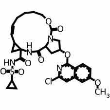 COc1ccc2c(OC3CC4C(=O)NC5(C(=O)NS(=O)(=O)C6CC6)CC5/C=C\CCCCOC(=O)N4C3)nc(Cl)cc2c1